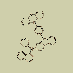 c1ccc(N(c2ccc3c4ccccc4n(-c4ccc(N5c6ccccc6Sc6ccccc65)cc4)c3c2)c2cccc3ccccc23)cc1